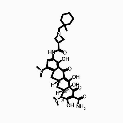 CN(C)c1cc(NC(=O)C2CN(CC3(C)CCCCC3)C2)c(O)c2c1C[C@H]1C[C@H]3[C@H](N(C)C)C(O)=C(C(N)=O)C(=O)[C@@]3(O)C(O)=C1C2=O